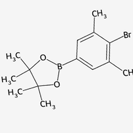 Cc1cc(B2OC(C)(C)C(C)(C)O2)cc(C)c1Br